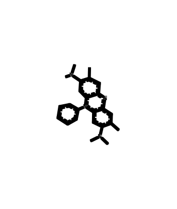 Cc1cc2nc3cc(C)c(N(C)C)cc3[n+](-c3ccccc3)c2cc1N(C)C